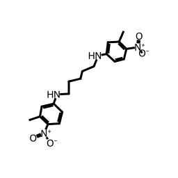 Cc1cc(NCCCCCNc2ccc([N+](=O)[O-])c(C)c2)ccc1[N+](=O)[O-]